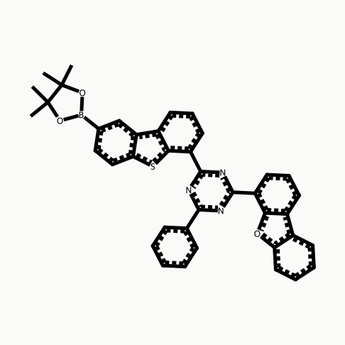 CC1(C)OB(c2ccc3sc4c(-c5nc(-c6ccccc6)nc(-c6cccc7c6oc6ccccc67)n5)cccc4c3c2)OC1(C)C